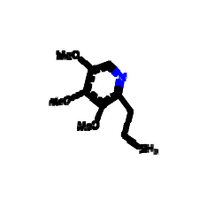 COc1cnc(CC[SiH3])c(OC)c1OC